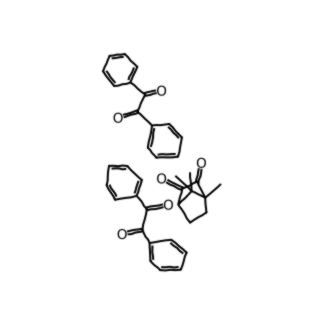 CC12CCC(C(=O)C1=O)C2(C)C.O=C(C(=O)c1ccccc1)c1ccccc1.O=C(C(=O)c1ccccc1)c1ccccc1